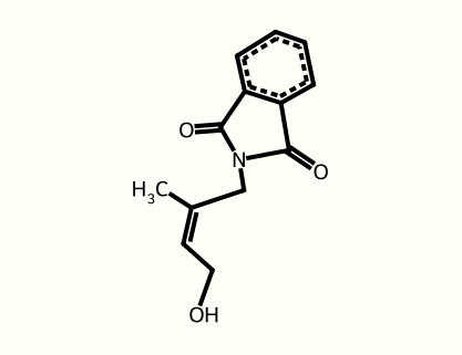 C/C(=C/CO)CN1C(=O)c2ccccc2C1=O